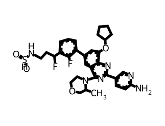 CC1COCCN1c1nc(-c2ccc(N)nc2)nc2c(OC3CCCC3)cc(-c3cccc(C(F)CCN[SH](=O)=O)c3F)cc12